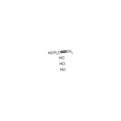 C=C.Cl.Cl.Cl.Cl